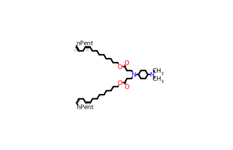 CCCCC/C=C\C/C=C\CCCCCCCCOC(=O)CCN(CCC(=O)OCCCCCCCC/C=C\C/C=C\CCCCC)C1CCC(N(C)C)CC1